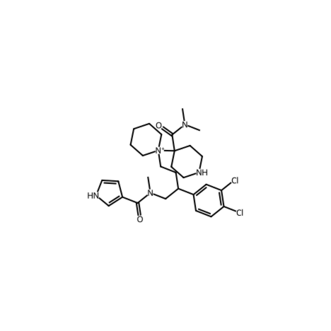 CN(C)C(=O)C1([N+]2(CCC(CN(C)C(=O)c3cc[nH]c3)c3ccc(Cl)c(Cl)c3)CCCCC2)CCNCC1